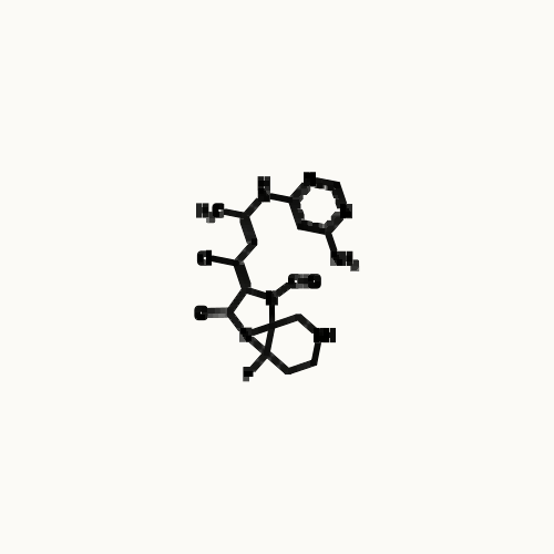 C/C(=C\C(Cl)=C1\C(=O)N2C3(F)CCNCC23N1C=O)Nc1cc(N)ncn1